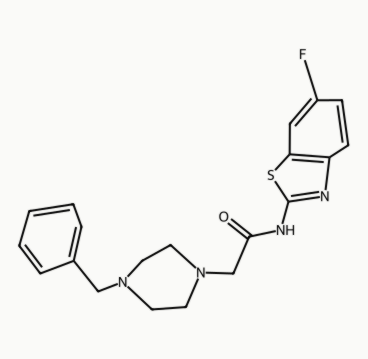 O=C(CN1CCN(Cc2ccccc2)CC1)Nc1nc2ccc(F)cc2s1